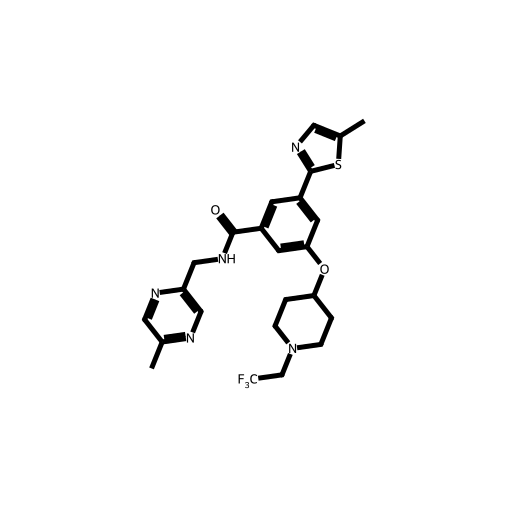 Cc1cnc(CNC(=O)c2cc(OC3CCN(CC(F)(F)F)CC3)cc(-c3ncc(C)s3)c2)cn1